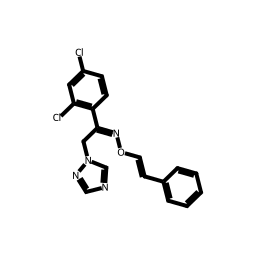 Clc1ccc(C(Cn2cncn2)=NOC=Cc2ccccc2)c(Cl)c1